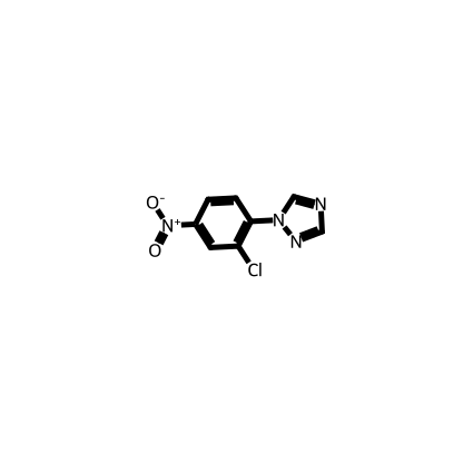 O=[N+]([O-])c1ccc(-n2cncn2)c(Cl)c1